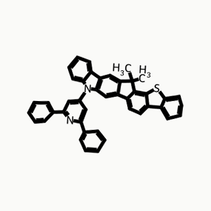 CC1(C)c2cc3c4ccccc4n(-c4cc(-c5ccccc5)nc(-c5ccccc5)c4)c3cc2-c2ccc3c(sc4ccccc43)c21